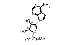 CCC[C@@H](NC)[C@H]1C[C@@H](n2ccc3c(N)ncnc32)[C@H](O)[C@@H]1O